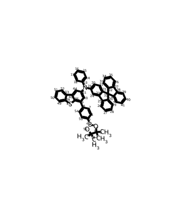 CC1(C)OB(c2ccc(-c3cc(N(c4ccccc4)c4ccc5c(c4)-c4ccccc4C54c5ccccc5-c5ccccc54)cc4c3sc3ccccc34)cc2)OC1(C)C